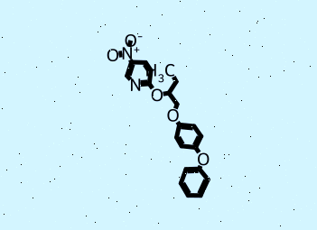 CCC(COc1ccc(Oc2ccccc2)cc1)Oc1ccc([N+](=O)[O-])cn1